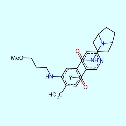 COCCCNc1cc(C(=O)NC2CC3CCC(C2)N3c2ccc([C](=O)[Y])cn2)ccc1C(=O)O